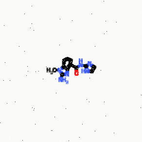 Cn1c(N)nc2c(C(=O)Nc3ncc[nH]3)cccc21